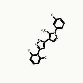 Fc1cccc(-n2ncc(-c3cc(-c4c(F)cccc4Cl)no3)c2C(F)(F)F)c1